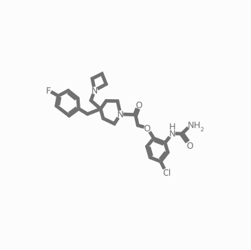 NC(=O)Nc1cc(Cl)ccc1OCC(=O)N1CCC(Cc2ccc(F)cc2)(CN2CCC2)CC1